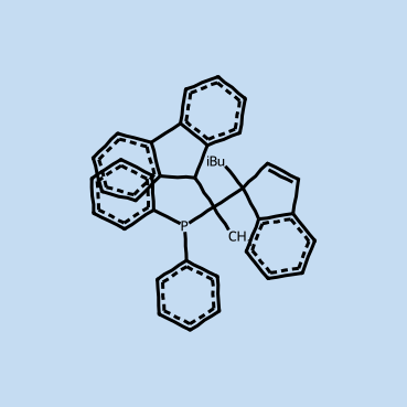 CCC(C)C1(C(C)(C2c3ccccc3-c3ccccc32)P(c2ccccc2)c2ccccc2)C=Cc2ccccc21